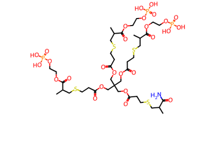 CC(CSCCC(=O)OCC(COC(=O)CCSCC(C)C(=O)OCCOP(=O)(O)O)(COC(=O)CCSCC(C)C(=O)OCCOP(=O)(O)O)COC(=O)CCSCC(C)C(=O)OCCOP(=O)(O)O)C(N)=O